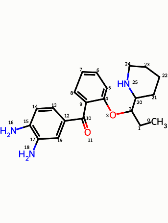 CCC(Oc1ccccc1C(=O)c1ccc(N)c(N)c1)C1CCCCN1